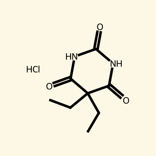 CCC1(CC)C(=O)NC(=O)NC1=O.Cl